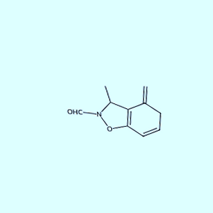 C=C1CC=CC2=C1C(C)N(C=O)O2